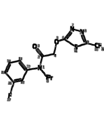 CC(C)N(C(=O)COc1nnc(C(F)(F)F)s1)c1cccc(F)c1